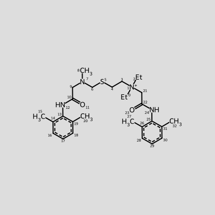 CC[N+](CC)(CCSCN(C)CC(=O)Nc1c(C)cccc1C)CC(=O)Nc1c(C)cccc1C